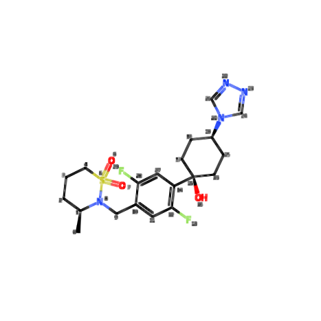 C[C@H]1CCCS(=O)(=O)N1Cc1cc(F)c([C@]2(O)CC[C@@H](n3cnnc3)CC2)cc1F